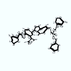 Cc1cc(OCP(=O)(OCc2ccccc2)OCc2ccccc2)cc2c1C(c1ccc(OCc3ccccc3)c(C3COC3)c1)CC2